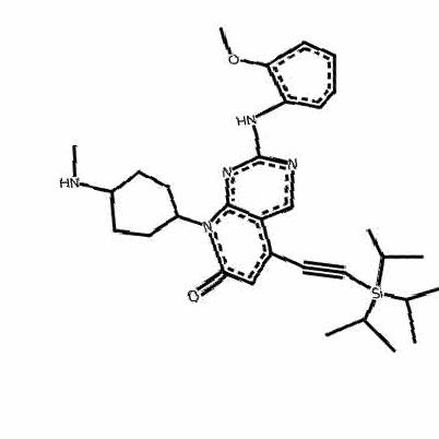 CNC1CCC(n2c(=O)cc(C#C[Si](C(C)C)(C(C)C)C(C)C)c3cnc(Nc4ccccc4OC)nc32)CC1